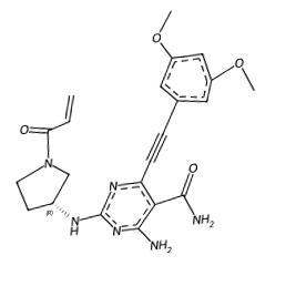 C=CC(=O)N1CC[C@@H](Nc2nc(N)c(C(N)=O)c(C#Cc3cc(OC)cc(OC)c3)n2)C1